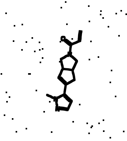 C=CC(=O)N1CC2C=C(c3ccnn3C)CC2C1